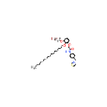 Br.CCCCCCCCCCCCCCCCOc1c(OC)cccc1OCC(=O)Nc1ccc(CN2C=CSC2)cc1